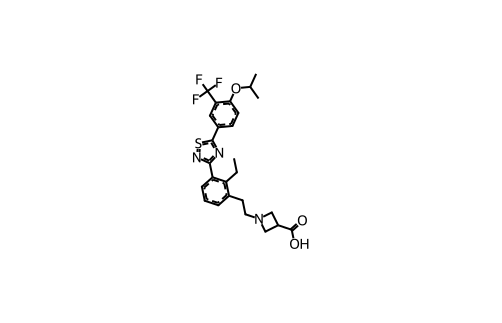 CCc1c(CCN2CC(C(=O)O)C2)cccc1-c1nsc(-c2ccc(OC(C)C)c(C(F)(F)F)c2)n1